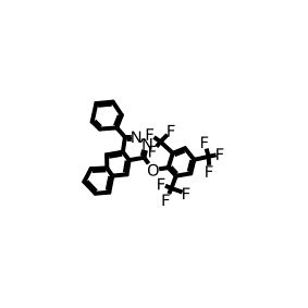 FC(F)(F)c1cc(C(F)(F)F)c(Oc2nnc(-c3ccccc3)c3cc4ccccc4cc23)c(C(F)(F)F)c1